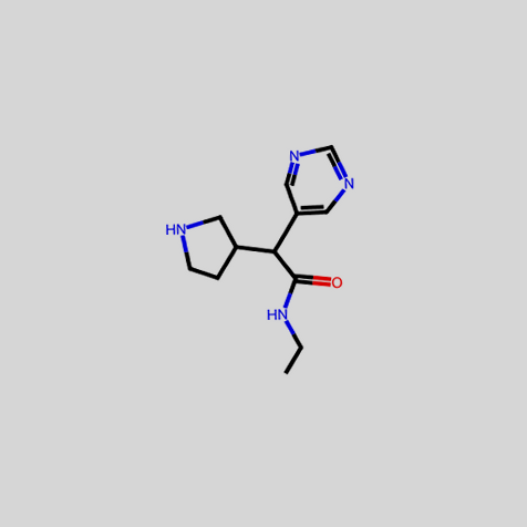 CCNC(=O)C(c1cncnc1)C1CCNC1